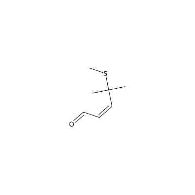 CSC(C)(C)/C=C\C=O